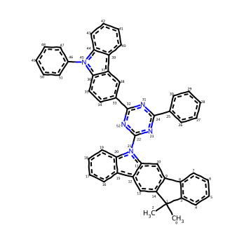 CC1(C)c2ccccc2-c2cc3c(cc21)c1ccccc1n3-c1nc(-c2ccccc2)nc(-c2ccc3c(c2)c2ccccc2n3-c2ccccc2)n1